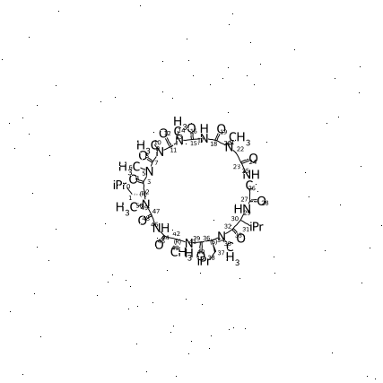 CC(C)C[C@@H]1C(=O)N(C)C(=O)N(C)C(=O)N(C)C(=O)NC(=O)N(C)CC(=O)NCC(=O)NC(C(C)C)C(=O)N(C)[C@@H](CC(C)C)C(=O)N[C@H](C)C(=O)NC(=O)N1C